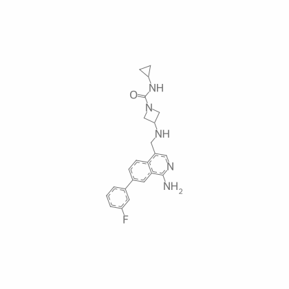 Nc1ncc(CNC2CN(C(=O)NC3CC3)C2)c2ccc(-c3cccc(F)c3)cc12